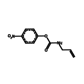 C=CCNC(=O)Oc1ccc([N+](=O)[O-])cc1